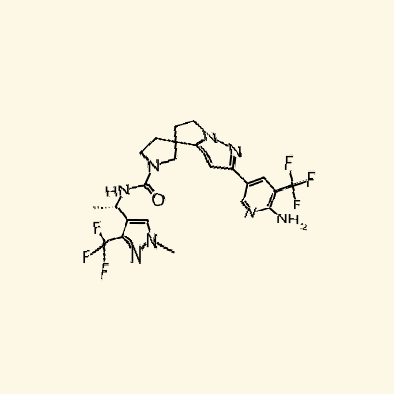 C[C@H](NC(=O)N1CCC2(CCn3nc(-c4cnc(N)c(C(F)(F)F)c4)cc32)C1)c1cn(C)nc1C(F)(F)F